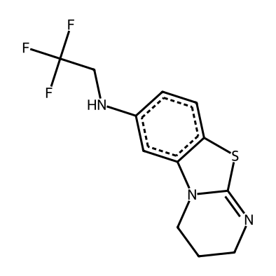 FC(F)(F)CNc1ccc2c(c1)N1CCCN=C1S2